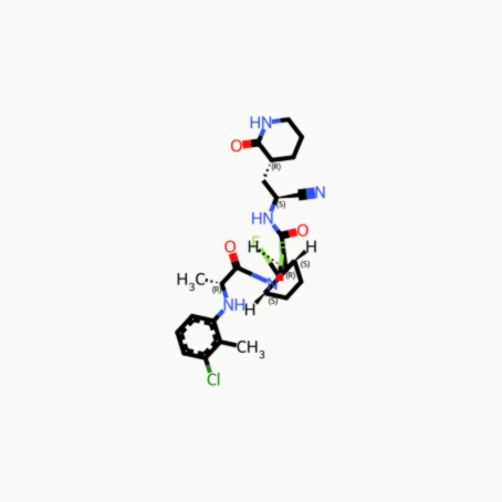 Cc1c(Cl)cccc1N[C@H](C)C(=O)N1[C@H]2CC[C@@H]([C@@H]1C(=O)N[C@H](C#N)C[C@H]1CCCNC1=O)C(F)(F)C2